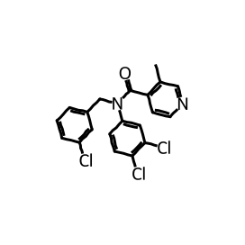 Cc1cnccc1C(=O)N(Cc1cccc(Cl)c1)c1ccc(Cl)c(Cl)c1